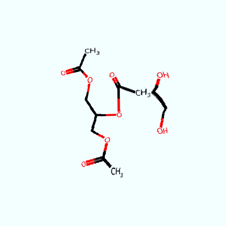 CC(=O)OCC(COC(C)=O)OC(C)=O.OCCO